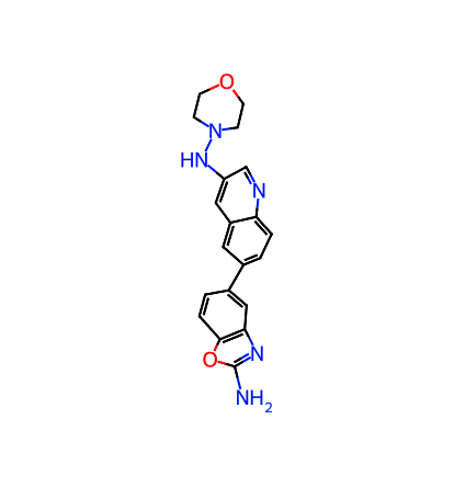 Nc1nc2cc(-c3ccc4ncc(NN5CCOCC5)cc4c3)ccc2o1